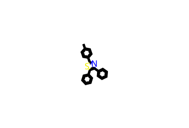 Cc1ccc(-c2nc(-c3ccccc3)c(-c3ccccc3)s2)cc1